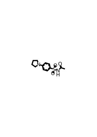 CC(=O)NS(=O)(=O)c1ccc(N2CCCC2)cc1